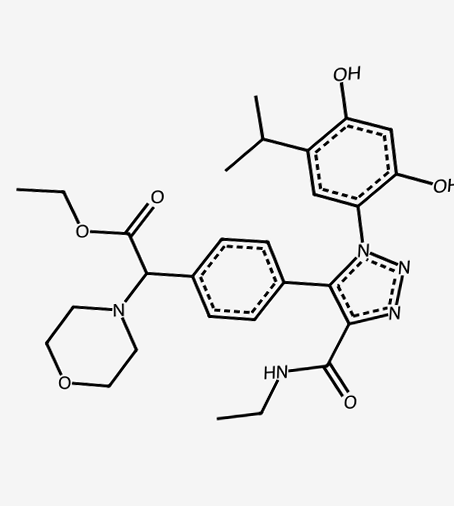 CCNC(=O)c1nnn(-c2cc(C(C)C)c(O)cc2O)c1-c1ccc(C(C(=O)OCC)N2CCOCC2)cc1